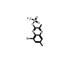 Cc1cc(Br)c2nc(OS(=O)(=O)C(F)(F)F)c(C)nc2c1